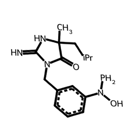 CC(C)CC1(C)NC(=N)N(Cc2cccc(N(O)P)c2)C1=O